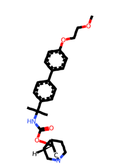 COCCOc1ccc(-c2ccc(C(C)(C)NC(=O)O[C@H]3CN4CCC3CC4)cc2)cc1